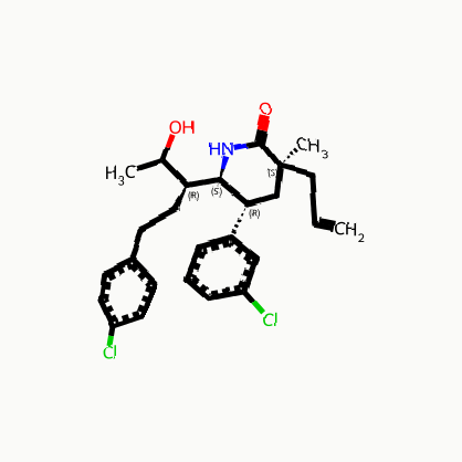 C=CC[C@@]1(C)C[C@H](c2cccc(Cl)c2)[C@@H]([C@@H](CCc2ccc(Cl)cc2)C(C)O)NC1=O